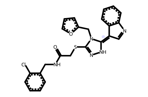 O=C(CSC1=NN/C(=C2\C=Nc3ccccc32)N1Cc1ccco1)NCc1ccccc1Cl